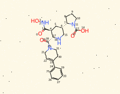 O=C(NO)[C@H]1C[C@H](C2CCCN2C(=O)O)CN[C@@H]1C(=O)N1CC=C(c2ccccc2)CC1